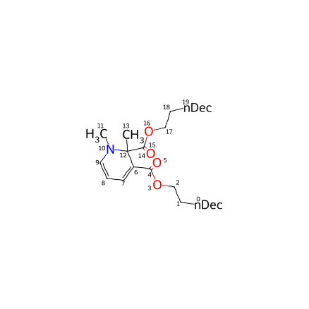 CCCCCCCCCCCCOC(=O)C1=CC=CN(C)C1(C)C(=O)OCCCCCCCCCCCC